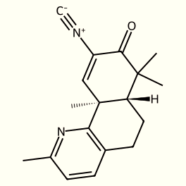 [C-]#[N+]C1=C[C@]2(C)c3nc(C)ccc3CC[C@H]2C(C)(C)C1=O